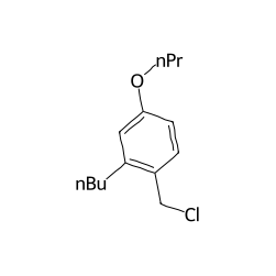 CCCCc1cc(OCCC)ccc1CCl